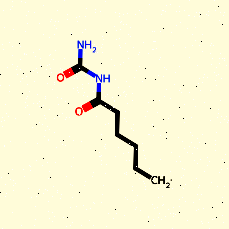 [CH2]CCCCC(=O)NC(N)=O